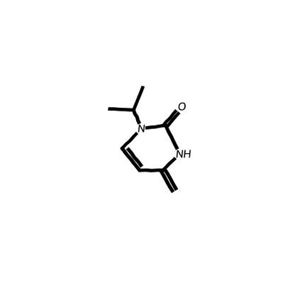 C=C1C=CN(C(C)C)C(=O)N1